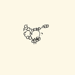 C=C[C@H]1C[C@H](OCCN2CCOCC2)[C@@H]2CC[C@H]2CN2Cc3ccc(Cl)c(F)c3CCCCOc3ccc(cc32)C(=O)NS(=O)(=O)[C@H](C)[C@H]1C